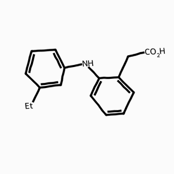 CCc1cccc(Nc2ccccc2CC(=O)O)c1